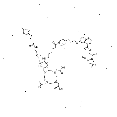 Cc1ccc(CCCC(=O)NCCOCC[C@H](NC(=O)CN2CCN(CC(=O)O)CCN(CC(=O)O)CCN(CC(=O)O)CC2)C(=O)NCCCCCC(=O)N2CCC(CCCOc3ccc4nccc(C(=O)NCC(=O)N5CC(F)(F)C[C@@H]5C#N)c4c3)CC2)cc1